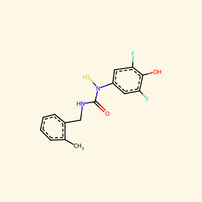 Cc1ccccc1CNC(=O)N(S)c1cc(F)c(O)c(F)c1